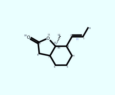 C/C=C/C1CCCC2CC(=O)O[C@@]12C